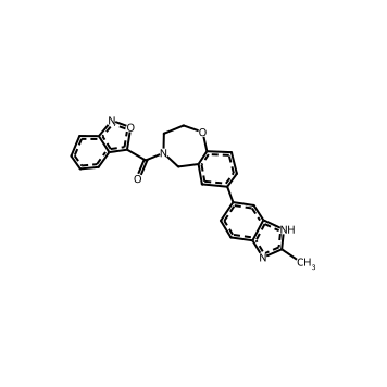 Cc1nc2ccc(-c3ccc4c(c3)CN(C(=O)c3onc5ccccc35)CCO4)cc2[nH]1